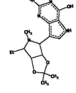 [2H]c1nc(O)c2[nH]cc(C3C4OC(C)(C)OC4C(CC)N3C)c2n1